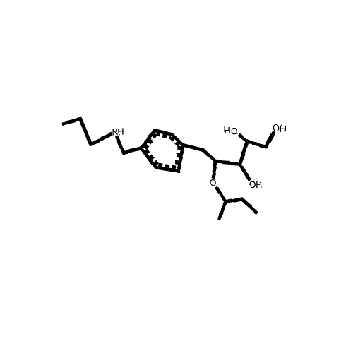 CCCNCc1ccc(CC(OC(C)CC)C(O)C(O)CO)cc1